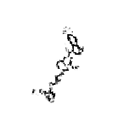 COc1ccc2nccc(C(F)CC[C@@H]3CCN(CCCSc4cncn4C)C[C@@H]3C(=O)O)c2c1